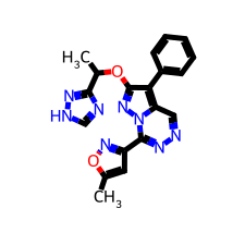 Cc1cc(-c2nncc3c(-c4ccccc4)c(OC(C)c4nc[nH]n4)nn23)no1